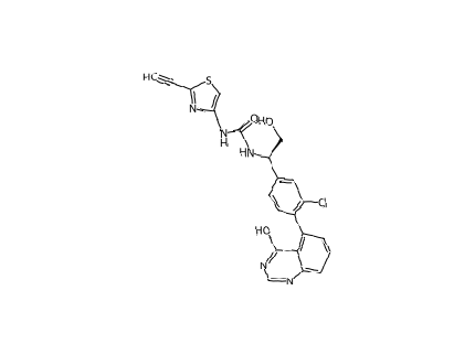 C#Cc1nc(NC(=O)N[C@@H](CO)c2ccc(-c3cccc4ncnc(O)c34)c(Cl)c2)cs1